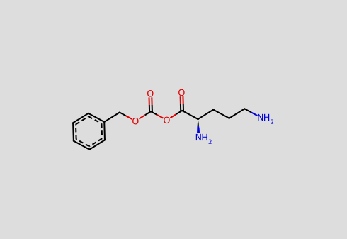 NCCC[C@@H](N)C(=O)OC(=O)OCc1ccccc1